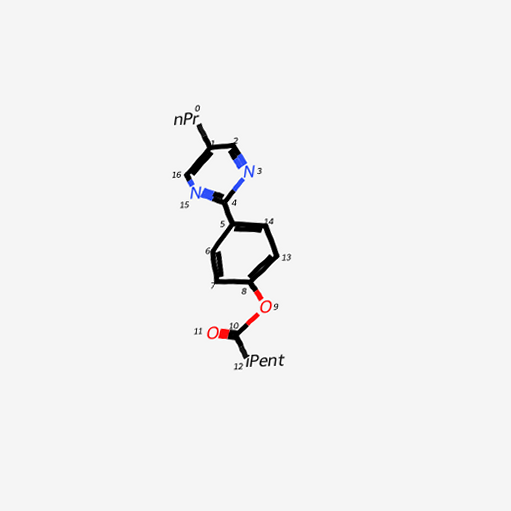 CCCc1cnc(-c2ccc(OC(=O)C(C)CCC)cc2)nc1